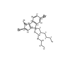 CCCCCCC1(CCCCCC)c2cc(Br)ccc2-c2c1cc(Br)n2C